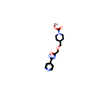 CC(C)(C)OC(=O)N1CCC(COCc2nc(-c3ccncc3)no2)CC1